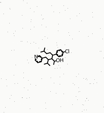 CC(C)CCC(c1ccc(Cl)cc1)C(C(C)O)C(Cc1cccnc1)C(C)C